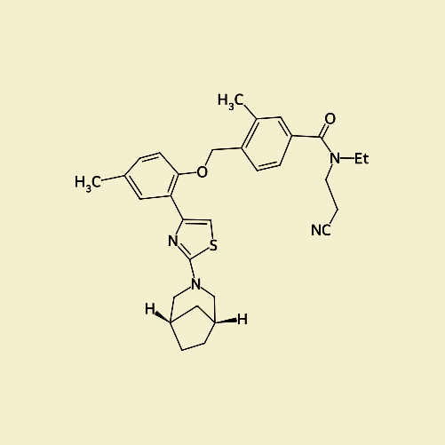 CCN(CCC#N)C(=O)c1ccc(COc2ccc(C)cc2-c2csc(N3C[C@@H]4CC[C@@H](C4)C3)n2)c(C)c1